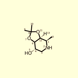 C[C@H]1NC[C@H](O)C2OC(C)(C)O[C@H]21